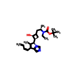 C=C/C=C\C1=C(C)[C@H]([C@H]2CC(C[C@H](C)N(CC)C(=O)OC(C)(C)C)[C@H]2O)n2cncc21